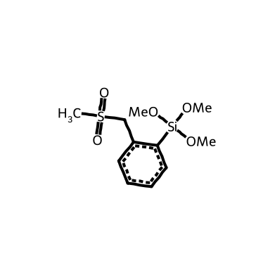 CO[Si](OC)(OC)c1ccccc1CS(C)(=O)=O